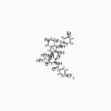 CCCC(CCC)S(=O)(=O)C[C@H](NC(=O)c1ccc(C(F)(F)F)cc1)C(=O)N[C@@H](Cc1cc(F)cc(F)c1)[C@H](O)CNCc1cccc(CC)c1